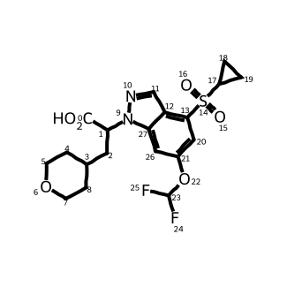 O=C(O)C(CC1CCOCC1)n1ncc2c(S(=O)(=O)C3CC3)cc(OC(F)F)cc21